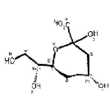 O=C(O)C1(O)C[C@H](O)C[C@@H]([C@H](O)CO)O1